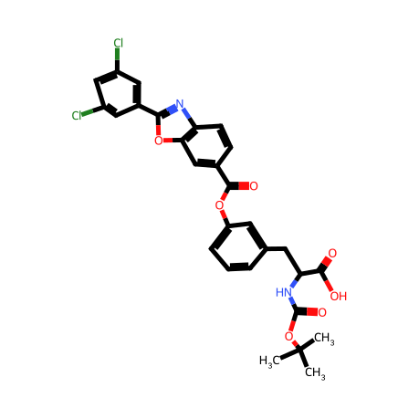 CC(C)(C)OC(=O)NC(Cc1cccc(OC(=O)c2ccc3nc(-c4cc(Cl)cc(Cl)c4)oc3c2)c1)C(=O)O